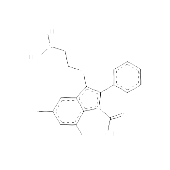 CC(=O)n1c(-c2ccccc2)c(OCCN(C)C)c2cc(Cl)cc(Cl)c21